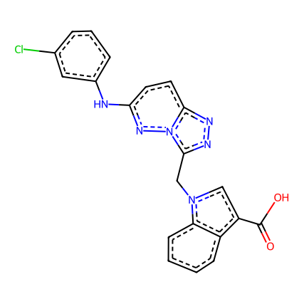 O=C(O)c1cn(Cc2nnc3ccc(Nc4cccc(Cl)c4)nn23)c2ccccc12